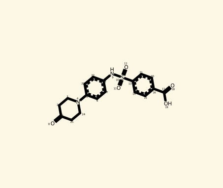 O=C1CCN(c2ccc(NS(=O)(=O)c3ccc(C(=O)O)cc3)cc2)CC1